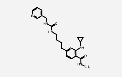 CNC(=O)c1ccc(CCCCNC(=O)NCc2cccnc2)nc1NC1CC1